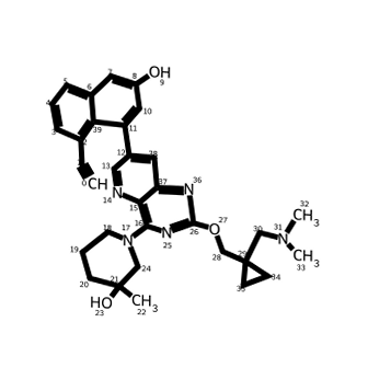 C#Cc1cccc2cc(O)cc(-c3cnc4c(N5CCCC(C)(O)C5)nc(OCC5(CN(C)C)CC5)nc4c3)c12